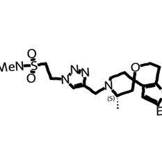 CCc1cc2c(s1)CCOC21CCN(Cc2cn(CCS(=O)(=O)NC)nn2)[C@@H](C)C1